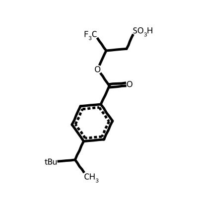 CC(c1ccc(C(=O)OC(CS(=O)(=O)O)C(F)(F)F)cc1)C(C)(C)C